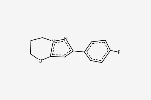 Fc1ccc(-c2cc3n(n2)CCCO3)cc1